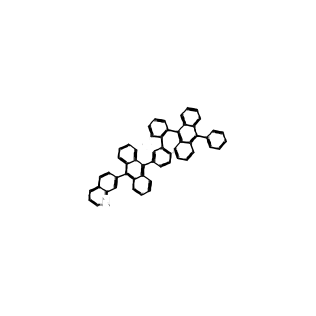 c1ccc(-c2c3ccccc3c(-c3cccc4oc5c(-c6c7ccccc7c(-c7ccc8cccnc8c7)c7ccccc67)cccc5c34)c3ccccc23)cc1